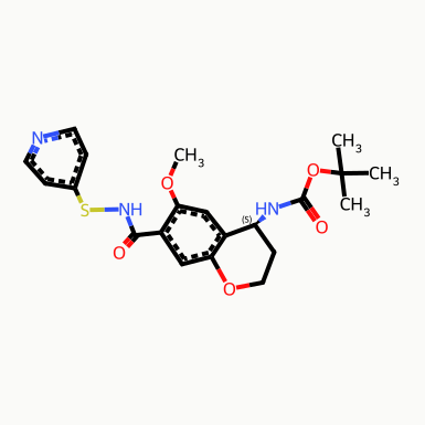 COc1cc2c(cc1C(=O)NSc1ccncc1)OCC[C@@H]2NC(=O)OC(C)(C)C